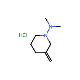 C=C1CCCN(N(C)C)C1.Cl